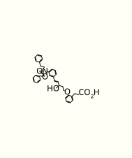 O=C(O)CCc1ccccc1OCCC(O)/C=C/c1cccc(N(CCc2ccccc2)S(=O)(=O)c2ccccc2)c1